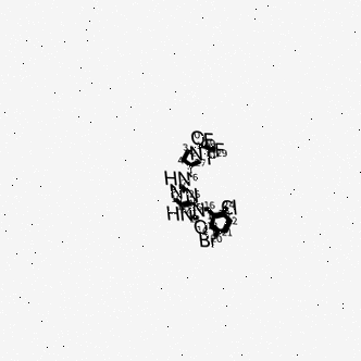 O=C(N1CC[C@@H](CNc2ncc3[nH]c(=O)n(Cc4cc(Br)ccc4Cl)c3n2)C1)C(F)(F)F